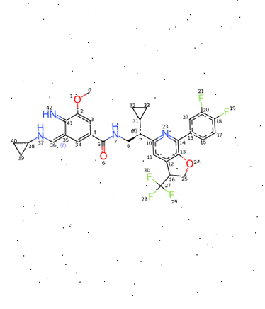 COC1=CC(C(=O)NC[C@H](c2cc3c(c(-c4ccc(F)c(F)c4)n2)OCC3C(F)(F)F)C2CC2)=C/C(=C/NC2CC2)C1=N